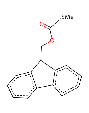 CSC(=O)OCC1c2ccccc2-c2ccccc21